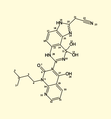 CC(C)CCn1c(=O)c(C2=NS(O)(O)c3c(ccc4[nH]c(CC#N)nc34)N2)c(O)c2cccnc21